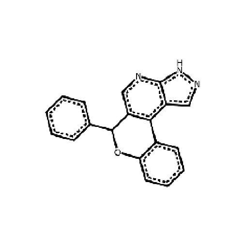 c1ccc(C2Oc3ccccc3-c3c2cnc2[nH]ncc32)cc1